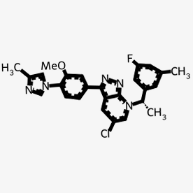 COc1cc(-c2nnc3n([C@@H](C)c4cc(C)cc(F)c4)cc(Cl)cc2-3)ccc1-n1cnc(C)c1